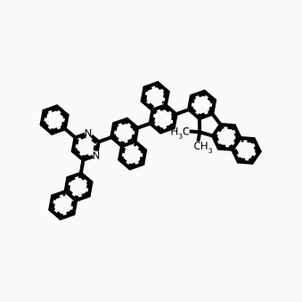 CC1(C)c2cc3ccccc3cc2-c2cccc(-c3ccc(-c4ccc(-c5nc(-c6ccccc6)cc(-c6ccc7ccccc7c6)n5)c5ccccc45)c4ccccc34)c21